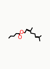 CCCCC(=O)OCC=C(C)CCC=C(C)C